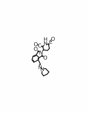 O=C=C1CCC(N2C(=O)c3cccc(C=NN4CCCCC4)c3C2=O)C(=C=O)N1